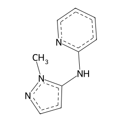 Cn1nccc1Nc1ccccn1